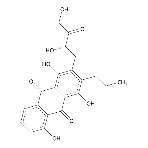 CCCc1c(O)c2c(c(O)c1C[C@H](O)C(=O)CO)C(=O)c1cccc(O)c1C2=O